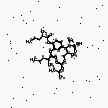 CCCC(C)C(=O)Oc1ccc(C(C(C)COC(=O)OC(C)C)[C@H](N)C(=O)O)cc1OC(=O)C(C)CCC